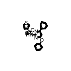 O=S(=O)(Nc1nc(Oc2ccccc2)cc(-c2ccccc2)n1)c1ccsc1